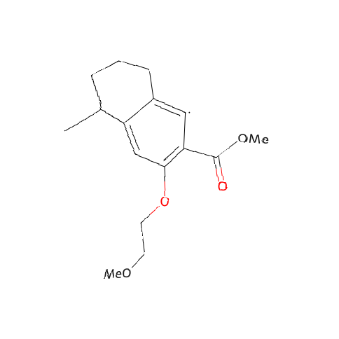 COCCOc1cc2c([c]c1C(=O)OC)CCCC2C